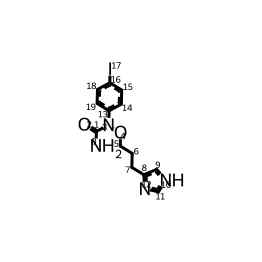 NC(=O)N(OCCCc1c[nH]cn1)c1ccc(I)cc1